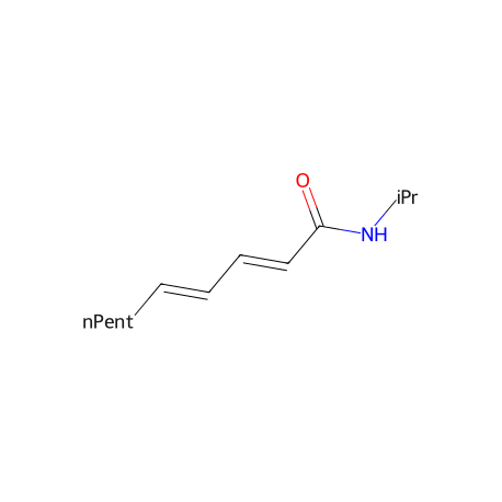 CCCCCC=CC=CC(=O)NC(C)C